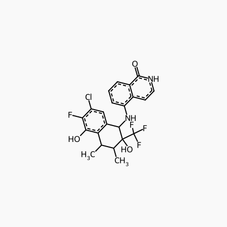 CC1c2c(cc(Cl)c(F)c2O)C(Nc2cccc3c(=O)[nH]ccc23)C(O)(C(F)(F)F)C1C